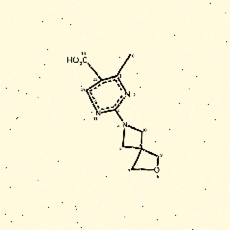 Cc1nc(N2CC3(COC3)C2)ncc1C(=O)O